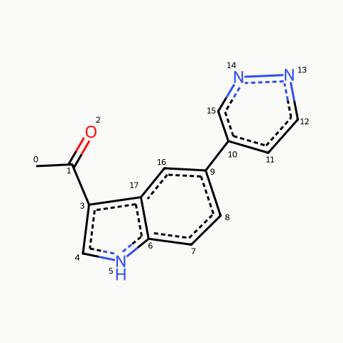 CC(=O)c1c[nH]c2ccc(-c3ccnnc3)cc12